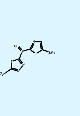 C=S(c1ncc(SC)s1)c1nnc([N+](=O)[O-])s1